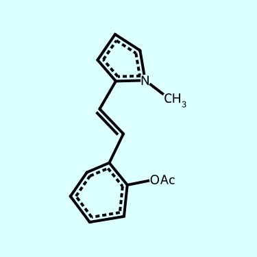 CC(=O)Oc1ccccc1/C=C/c1cccn1C